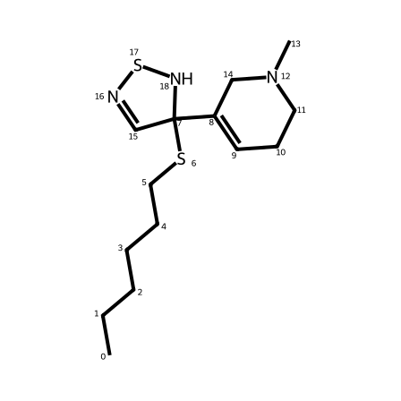 CCCCCCSC1(C2=CCCN(C)C2)C=NSN1